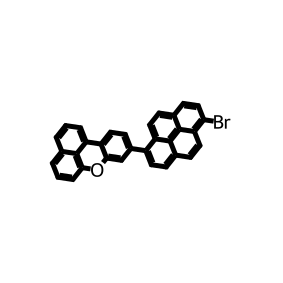 Brc1ccc2ccc3c(-c4ccc5c(c4)Oc4cccc6cccc-5c46)ccc4ccc1c2c43